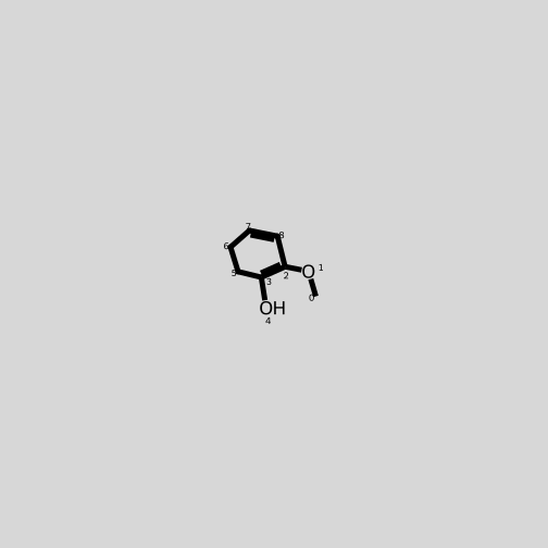 COC1=C(O)CCC=C1